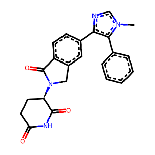 Cn1cnc(-c2ccc3c(c2)CN([C@@H]2CCC(=O)NC2=O)C3=O)c1-c1ccccc1